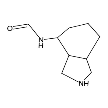 O=CNC1CCCC2CNCC21